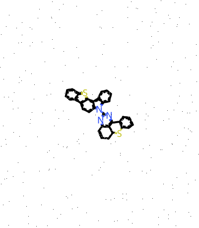 C1=Cc2nc(-n3c4ccccc4c4c5sc6ccccc6c5ccc43)nc3c2C(C1)Sc1ccccc1-3